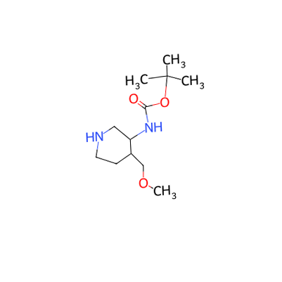 COCC1CCNCC1NC(=O)OC(C)(C)C